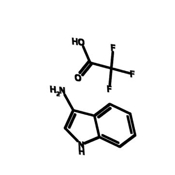 Nc1c[nH]c2ccccc12.O=C(O)C(F)(F)F